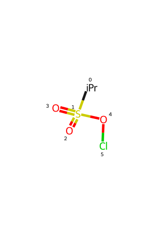 CC(C)S(=O)(=O)OCl